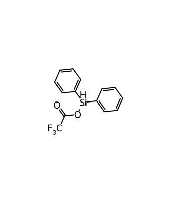 O=C(O[SiH](c1ccccc1)c1ccccc1)C(F)(F)F